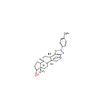 COc1ccc(-c2nc3c(s2)[C@@H]2CC[C@@H]4[C@H](CC[C@]5(C)[C@@H](O)CC[C@@H]45)[C@@]2(C)CC3)cc1